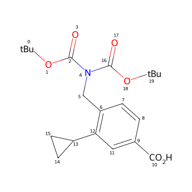 CC(C)(C)OC(=O)N(Cc1ccc(C(=O)O)cc1C1CC1)C(=O)OC(C)(C)C